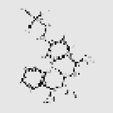 C[C@@H](NC(=O)[C@H](C)[C@@H](C)c1ccccc1)c1cnc(OCC(F)(F)F)cn1